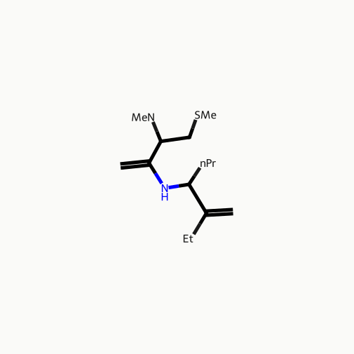 C=C(CC)C(CCC)NC(=C)C(CSC)NC